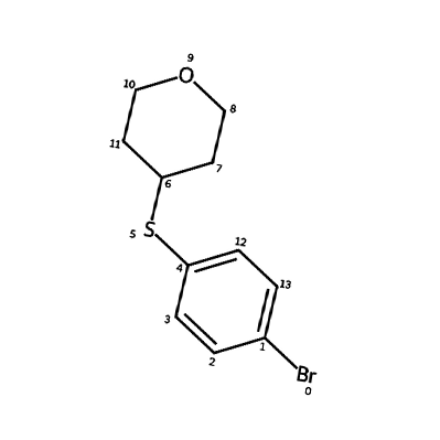 Brc1ccc(SC2CCOCC2)cc1